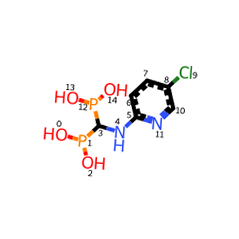 OP(O)C(Nc1ccc(Cl)cn1)P(O)O